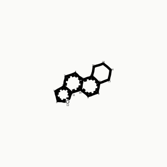 c1cc2ccc3c4c(ccc3c2o1)CCCC4